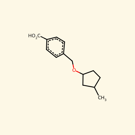 CC1CCC(OCc2ccc(C(=O)O)cc2)C1